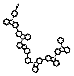 N#Cc1ccc(-n2c3ccccc3c3cc(C4=CC5c6ccccc6N(c6cccc7c6sc6ccc(-c8cccc(-n9c%10ccccc%10c%10cc(-c%11ccc%12c(c%11)c%11ccccc%11n%12-c%11ccc%12c(c%11)c%11ccccc%11n%12-c%11ccccc%11)ccc%109)c8)cc67)C5C=C4)ccc32)cc1